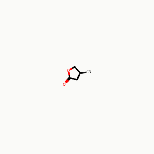 N#CC1COC(=O)C1